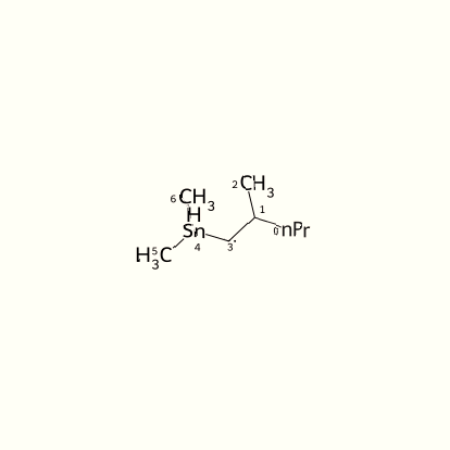 CCCC(C)[CH][SnH]([CH3])[CH3]